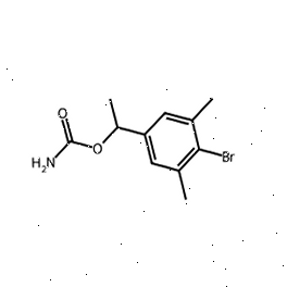 Cc1cc(C(C)OC(N)=O)cc(C)c1Br